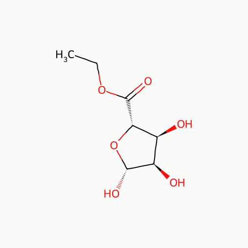 CCOC(=O)[C@H]1O[C@@H](O)[C@H](O)[C@@H]1O